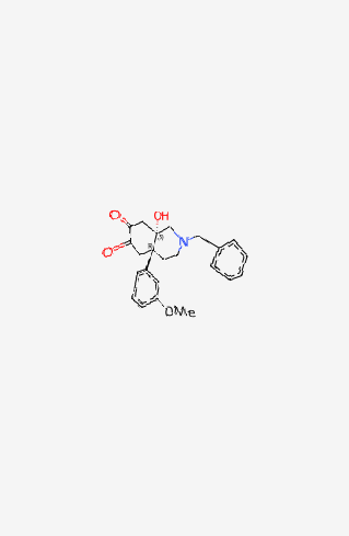 COc1cccc([C@]23CCN(Cc4ccccc4)C[C@]2(O)CC(=O)C(=O)C3)c1